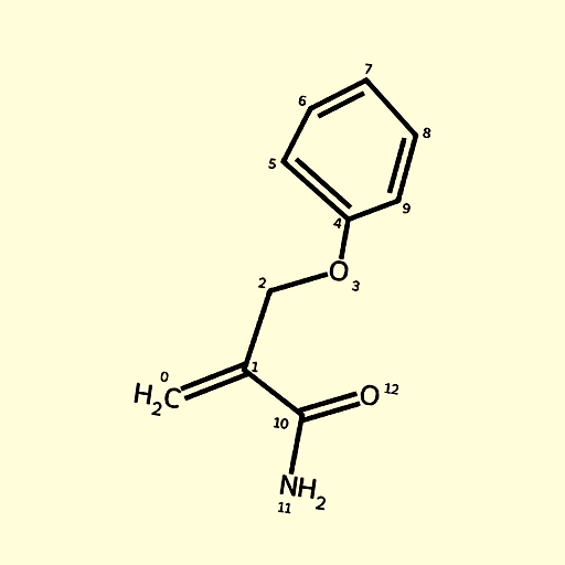 C=C(COc1ccccc1)C(N)=O